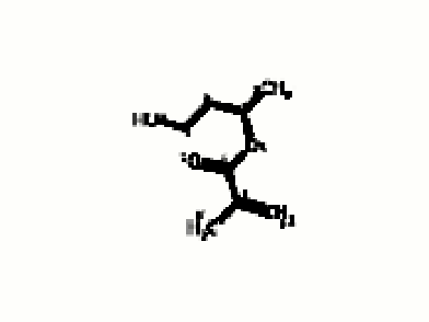 [CH2]C(CCO)OC(=O)C(=C)C